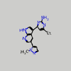 CCc1cc(-c2c[nH]c3ncc(-c4ccnn4C)cc23)nc(N)n1